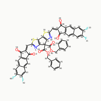 O=C1C(=Cc2nc3c(s2)-c2sc(C=C4C(=O)c5cc6cc(F)c(F)cc6cc5C4=O)nc2C3(C(=O)OCc2ccccc2)C(=O)OCc2ccccc2)C(=O)c2cc3cc(F)c(F)cc3cc21